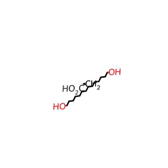 C=CC(=O)O.OCCCCCCCCCCCCCCO